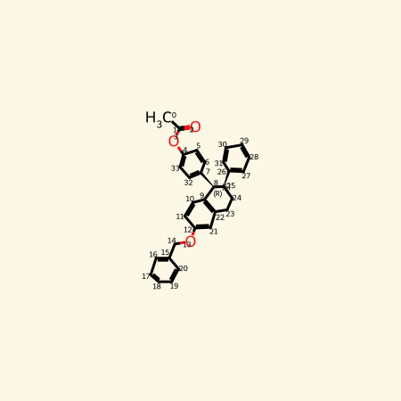 CC(=O)Oc1ccc([C@@H]2c3ccc(OCc4ccccc4)cc3CC[C@@H]2c2ccccc2)cc1